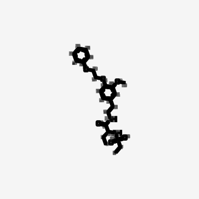 CC[C@H](NS(=O)(=O)CC)C(=O)NCCc1ccc(OCCOc2ccccc2)c(OC)c1